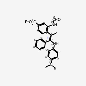 CCOC(=O)c1ccc(/C(C)=C(/Nc2ccc(N(C)C)cc2)c2ccccc2)c(NC=O)c1